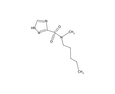 CCCCCN(C)S(=O)(=O)c1nc[nH]n1